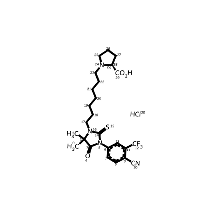 CC1(C)C(=O)N(c2ccc(C#N)c(C(F)(F)F)c2)C(=S)N1CCCCCCCN1CCC[C@H]1C(=O)O.Cl